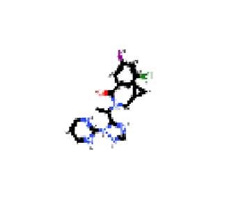 CC(c1ncnn1-c1ncccn1)N(CC1CC1)C(=O)c1cc(Cl)cc(I)c1